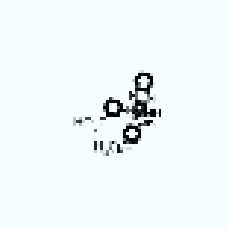 CBc1ccc(S(=O)(=O)Nc2nc3ccccc3nc2Nc2cccc(C(=O)O)c2)cc1